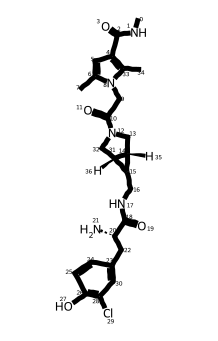 CNC(=O)c1cc(C)n(CC(=O)N2C[C@@H]3C(CNC(=O)[C@@H](N)Cc4ccc(O)c(Cl)c4)[C@@H]3C2)c1C